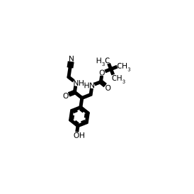 CC(C)(C)OC(=O)NCC(C(=O)NCC#N)c1ccc(O)cc1